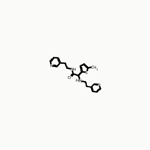 Cc1ccc(C(NCCc2cccnc2)C(=O)NCCc2cccnc2)s1